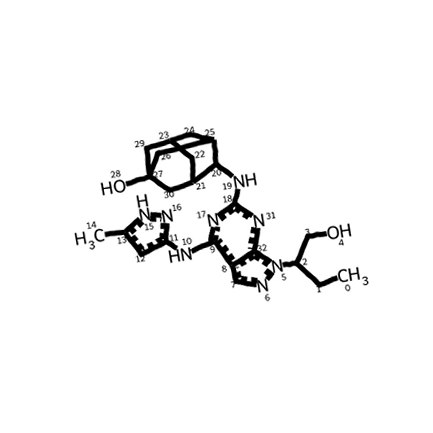 CCC(CO)n1ncc2c(Nc3cc(C)[nH]n3)nc(NC3C4CC5CC3CC(O)(C5)C4)nc21